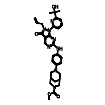 C=CCn1c(=O)c2cnc(Nc3ccc(N4CC5CC(CN(C(=O)OC)C5)C4)cc3)nc2n1-c1cccc(C(C)(C)O)n1